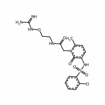 Cc1ccc(NS(=O)(=O)c2ccccc2Cl)c(=O)n1CC(=O)NCCONC(=N)N